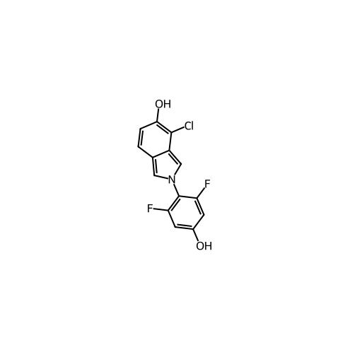 Oc1cc(F)c(-n2cc3ccc(O)c(Cl)c3c2)c(F)c1